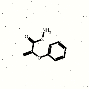 C=C(Oc1ccccc1)C(=O)SN